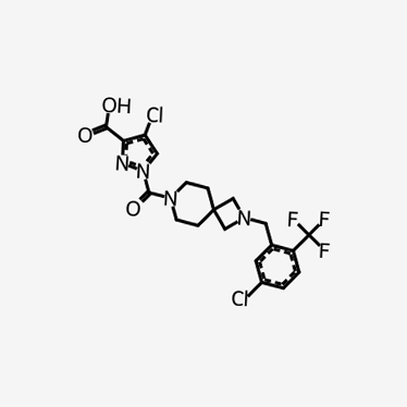 O=C(O)c1nn(C(=O)N2CCC3(CC2)CN(Cc2cc(Cl)ccc2C(F)(F)F)C3)cc1Cl